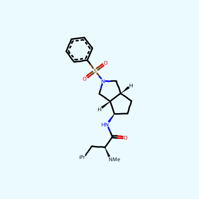 CN[C@@H](CC(C)C)C(=O)N[C@@H]1CC[C@H]2CN(S(=O)(=O)c3ccccc3)C[C@H]21